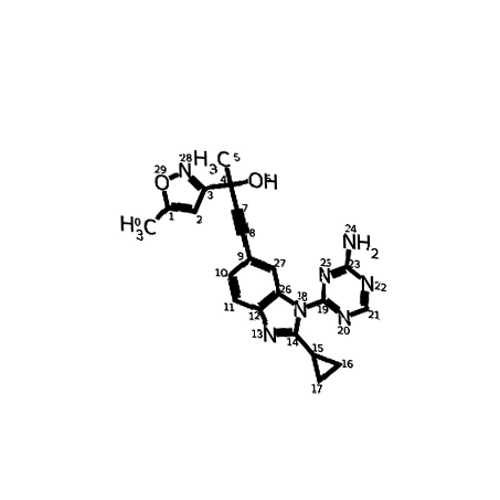 Cc1cc(C(C)(O)C#Cc2ccc3nc(C4CC4)n(-c4ncnc(N)n4)c3c2)no1